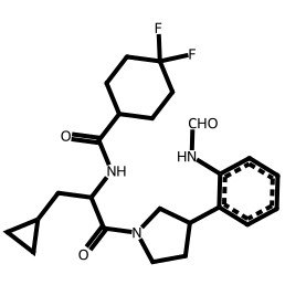 O=CNc1ccccc1C1CCN(C(=O)C(CC2CC2)NC(=O)C2CCC(F)(F)CC2)C1